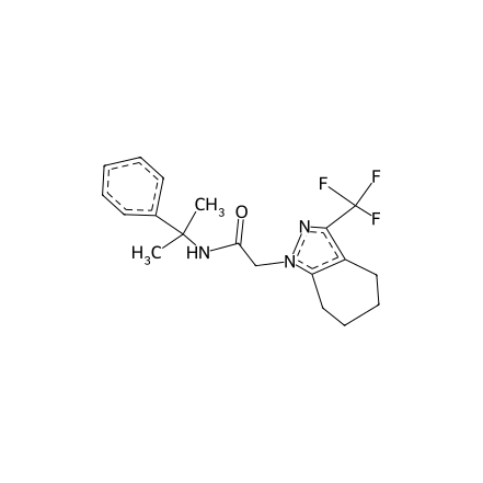 CC(C)(NC(=O)Cn1nc(C(F)(F)F)c2c1CCCC2)c1ccccc1